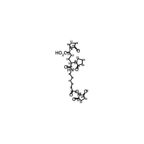 O=C(CCCCCNC(=O)C(CCC(C(=O)O)N1CCCC1=O)N1CCCC1=O)ON1C(=O)CCC1=O